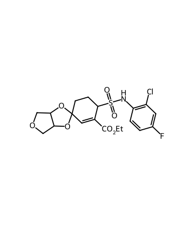 CCOC(=O)C1=CC2(CCC1S(=O)(=O)Nc1ccc(F)cc1Cl)OC1COCC1O2